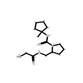 CC1(OC(=O)N2CCCC2COC(=O)CS)CCCC1